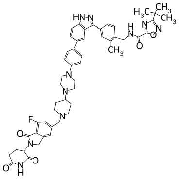 Cc1cc(-c2n[nH]c3ccc(-c4ccc(N5CCN(C6CCN(Cc7cc(F)c8c(c7)CN(C7CCC(=O)NC7=O)C8=O)CC6)CC5)cc4)cc23)ccc1CNC(=O)c1nc(C(C)(C)C)no1